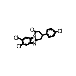 O=C1CC(c2ccc(Cl)cc2)Cc2nc3cc(Cl)c(Cl)cc3n21